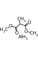 COC(=O)C(C)C(=O)OC.[AlH3]